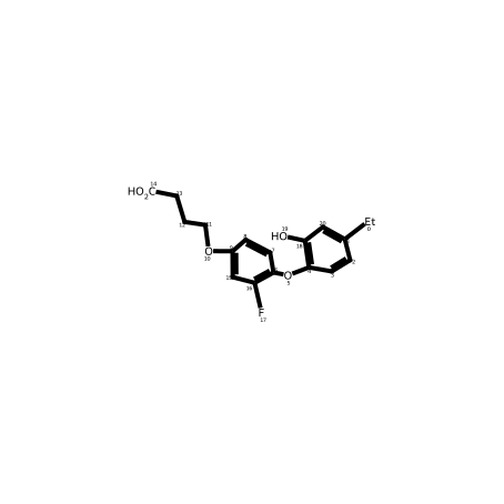 CCc1ccc(Oc2ccc(OCCCC(=O)O)cc2F)c(O)c1